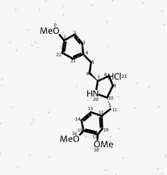 COc1ccc(CC[C@H]2CC[C@H](Cc3ccc(OC)c(OC)c3)N2)cc1.Cl